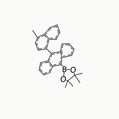 Cc1ccc(-c2c3ccccc3c(B3OC(C)(C)C(C)(C)O3)c3ccccc23)c2ccccc12